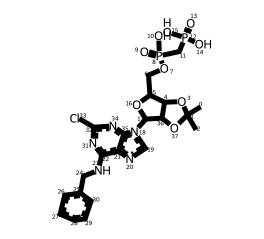 CC1(C)OC2C(COP(=O)(O)CP(=O)(O)O)OC(n3cnc4c(NCc5ccccc5)nc(Cl)nc43)C2O1